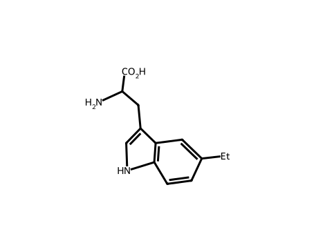 CCc1ccc2[nH]cc(CC(N)C(=O)O)c2c1